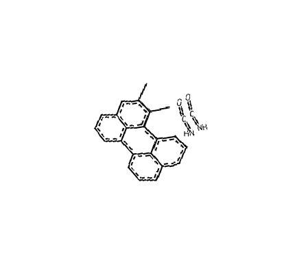 Cc1cc2cccc3c4cccc5cccc(c(c1C)c23)c54.N=C=O.N=C=O